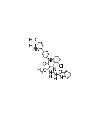 CC1=C(C(=O)Nc2ccc(C(=N)/C=C\C(C)C)cc2)C(c2ccccc2Cl)N=C(Nc2nc3ccccc3o2)N1